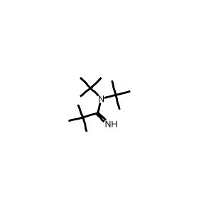 CC(C)(C)C(=N)N(C(C)(C)C)C(C)(C)C